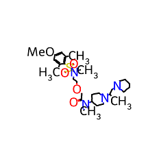 COc1cc(C)c(S(=O)(=O)N(C)CCOCC(=O)N(C)C2CCN(C(C)CN3CCCCC3)CC2)c(C)c1